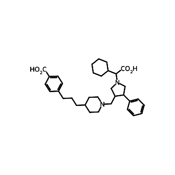 O=C(O)c1ccc(CCCC2CCN(CC3CN(C(C(=O)O)C4CCCCC4)CC3c3ccccc3)CC2)cc1